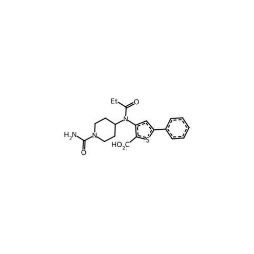 CCC(=O)N(c1cc(-c2ccccc2)sc1C(=O)O)C1CCN(C(N)=O)CC1